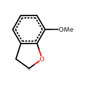 COc1cccc2c1O[C]C2